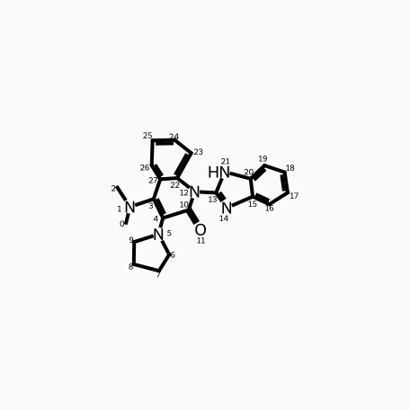 CN(C)c1c(N2CCCC2)c(=O)n(-c2nc3ccccc3[nH]2)c2ccccc12